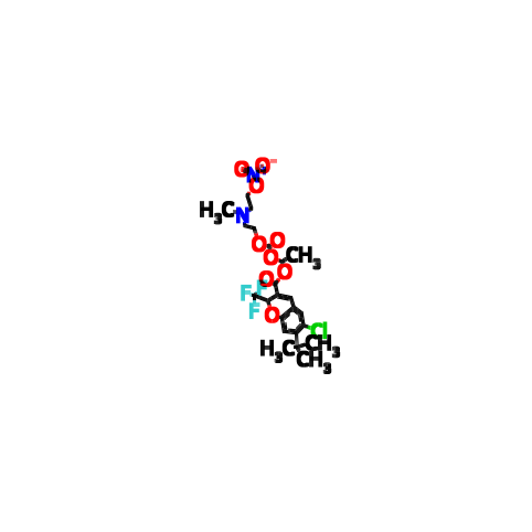 CC(OC(=O)OCCN(C)CCO[N+](=O)[O-])OC(=O)C1=Cc2cc(Cl)c(C(C)(C)C)cc2OC1C(F)(F)F